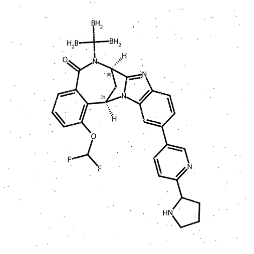 BC(B)(B)N1C(=O)c2cccc(OC(F)F)c2[C@H]2C[C@@H]1c1nc3ccc(-c4ccc(C5CCCN5)nc4)cc3n12